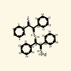 S=C(C(=S)c1ccccc1)c1ccccc1.S=C(C(=S)c1ccccc1)c1ccccc1.[Pd]